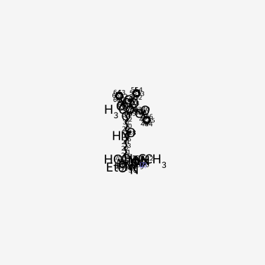 CC[C@H]1O[C@@H](n2cnc3c(/C=C\N(C)C)ncnc32)[C@@H](OCCCCCCNC(=O)CCCCO[C@@H]2C[C@H](COC(=O)c3ccccc3)[C@H](OC(=O)c3ccccc3)[C@H](OC(=O)c3ccccc3)[C@H]2C)C1O